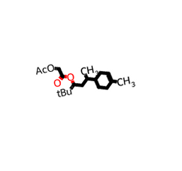 CC(=O)OCC(=O)OC(CC(C)C1CC=C(C)CC1)C(C)(C)C